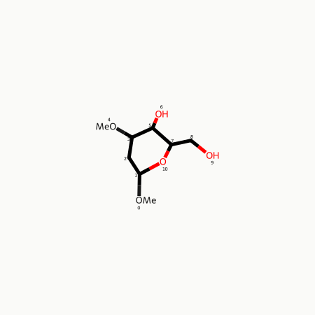 COC1CC(OC)C(O)C(CO)O1